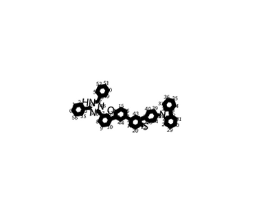 c1ccc(C2=NC(c3cccc4c3oc3ccc(-c5ccc6sc7cc(-n8c9ccccc9c9ccccc98)ccc7c6c5)cc34)=NC(c3ccccc3)N2)cc1